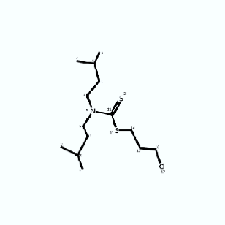 CC(C)CCN(CCC(C)C)C(=S)SCCCCl